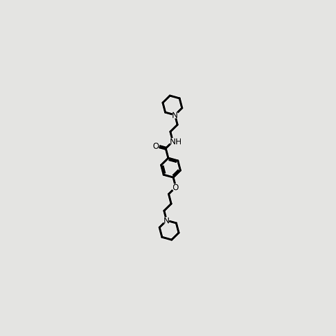 O=C(NCCN1CCCCC1)c1ccc(OCCCN2CCCCC2)cc1